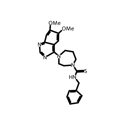 COc1cc2ncnc(N3CCCN(C(=S)NCc4ccccc4)CC3)c2cc1OC